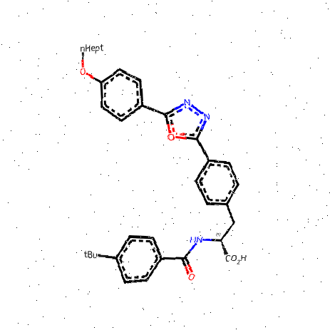 CCCCCCCOc1ccc(-c2nnc(-c3ccc(C[C@H](NC(=O)c4ccc(C(C)(C)C)cc4)C(=O)O)cc3)o2)cc1